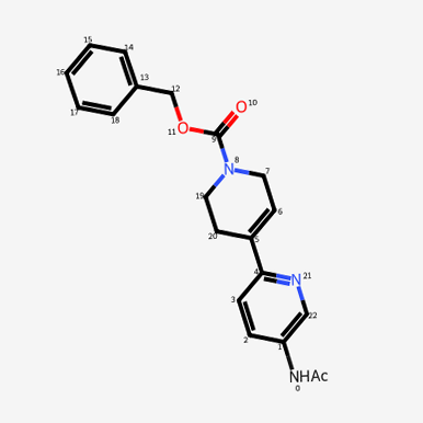 CC(=O)Nc1ccc(C2=CCN(C(=O)OCc3ccccc3)CC2)nc1